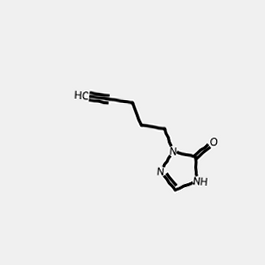 C#CCCCn1nc[nH]c1=O